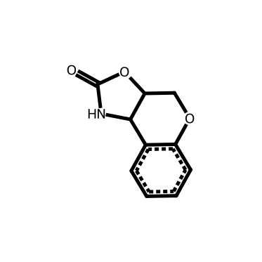 O=C1NC2c3ccccc3OCC2O1